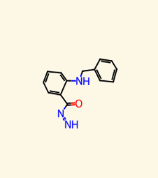 N=NC(=O)c1ccccc1NCc1ccccc1